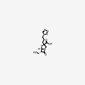 O=C1[C@H](CO)[C@H]2SC(CCCn3cnnn3)(C(=O)O)CN12